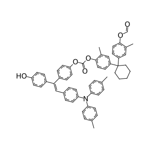 Cc1ccc(N(c2ccc(C)cc2)c2ccc(C=C(c3ccc(O)cc3)c3ccc(OC(=O)Oc4ccc(C5(c6ccc(OC=O)c(C)c6)CCCCC5)cc4C)cc3)cc2)cc1